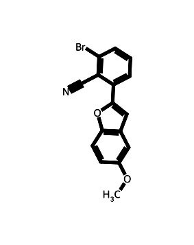 COc1ccc2oc(-c3cccc(Br)c3C#N)cc2c1